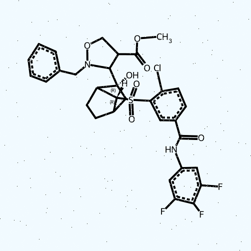 COC(=O)C1CON(Cc2ccccc2)C1[C@@]1(O)CC2CCC1[C@@H]2S(=O)(=O)c1cc(C(=O)Nc2cc(F)c(F)c(F)c2)ccc1Cl